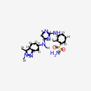 Cc1c(Nc2nccc(N(C)c3ccc4c(C)n(C)nc4c3)n2)cccc1S(N)(=O)=O